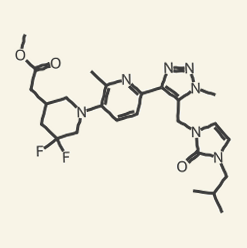 COC(=O)CC1CN(c2ccc(-c3nnn(C)c3Cn3ccn(CC(C)C)c3=O)nc2C)CC(F)(F)C1